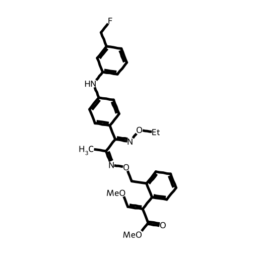 CCON=C(C(C)=NOCc1ccccc1C(=COC)C(=O)OC)c1ccc(Nc2cccc(CF)c2)cc1